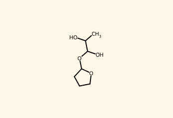 CC(O)C(O)OC1CCCO1